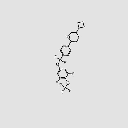 Fc1cc(OC(F)(F)c2ccc(C3CCC(C4CCC4)CO3)cc2)cc(F)c1OC(F)(F)F